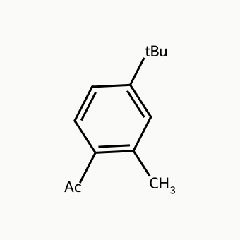 CC(=O)c1ccc(C(C)(C)C)cc1C